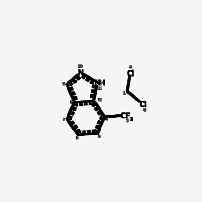 ClCCl.FC(F)(F)c1cccc2cn[nH]c12